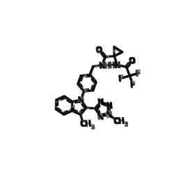 Cc1c(-c2nnn(C)n2)n(-c2ccc(CNC(=O)C3(NC(=O)C(F)(F)F)CC3)cc2)c2ccccc12